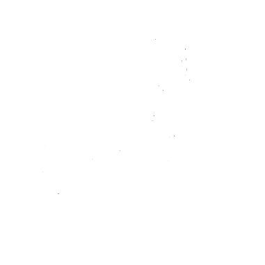 CCOc1ccccc1-c1cccc(-n2cnc(C=O)n2)c1